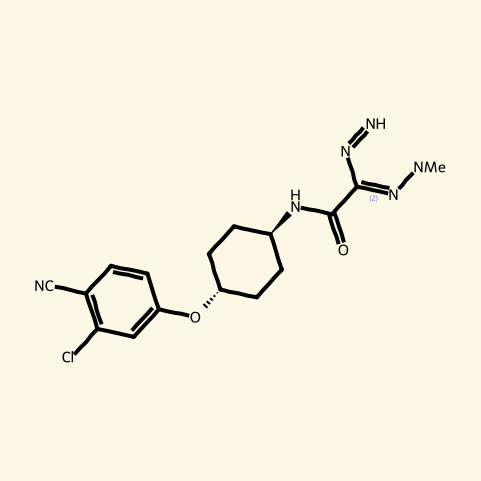 CN/N=C(\N=N)C(=O)N[C@H]1CC[C@H](Oc2ccc(C#N)c(Cl)c2)CC1